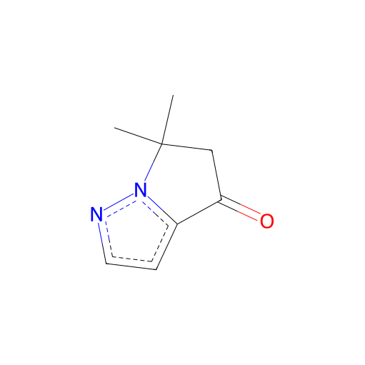 CC1(C)CC(=O)c2ccnn21